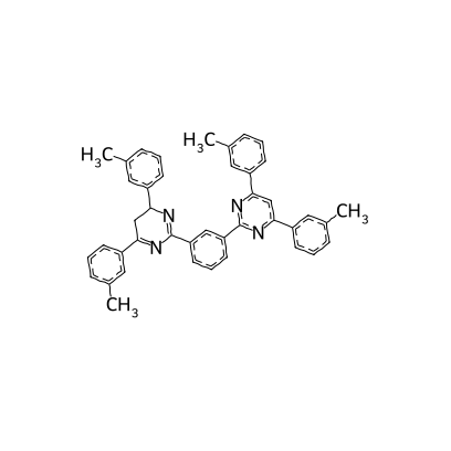 Cc1cccc(C2=NC(c3cccc(-c4nc(-c5cccc(C)c5)cc(-c5cccc(C)c5)n4)c3)=NC(c3cccc(C)c3)C2)c1